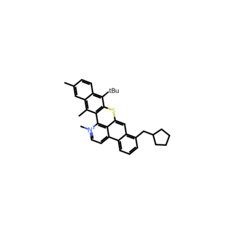 Cc1ccc2c(C(C)(C)C)c3c(c(C)c2c1)-c1c2c(cc4c(CC5CCCC5)cccc4c2cc[n+]1C)S3